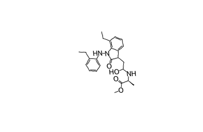 CCc1ccccc1NN1C(=O)C(CC(O)N[C@@H](C)C(=O)OC)c2cccc(CC)c21